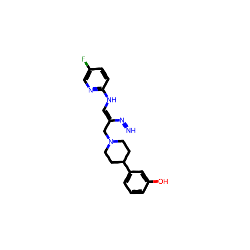 N=N/C(=C\Nc1ccc(F)cn1)CN1CCC(c2cccc(O)c2)CC1